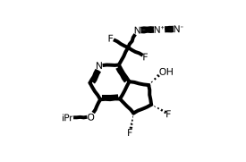 CC(C)Oc1cnc(C(F)(F)N=[N+]=[N-])c2c1[C@@H](F)[C@@H](F)[C@H]2O